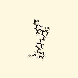 C=C(O)C[C@H](C1=NCC=C1)c1ccc(CCc2ccc(C)c(-c3ccc(OCCCC)cc3C)c2)cc1